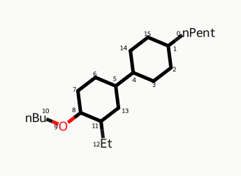 CCCCCC1CCC(C2CCC(OCCCC)C(CC)C2)CC1